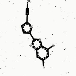 CCCCC#Cc1ccc(-c2nc3c(Br)cc(Br)cc3[nH]2)o1